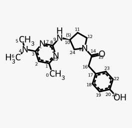 Cc1cc(N(C)C)nc(N[C@H]2CCN(C(=O)Cc3ccc(O)cc3)C2)n1